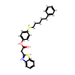 O=C(Cc1nc2ccccc2s1)Oc1ccc(SCCCCCc2ccccc2)cc1